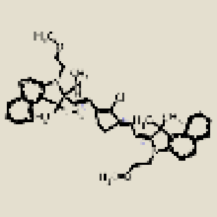 CNC1(/C=C/C2=C(Cl)C(=C/C=C3/N(CCOC)c4ccc5ccccc5c4C3(C)C)/CC2)N(CCOC)c2ccc3ccccc3c2C1(C)C